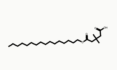 CCCCCCCCCCCCCCCCOC(=O)CC(C)(C)CC(=O)O